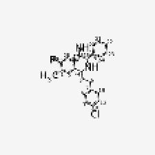 Cc1cc([C@H](CCc2ccc(Cl)cc2)N[C@@H](C(N)=O)c2ccccc2)ccc1F